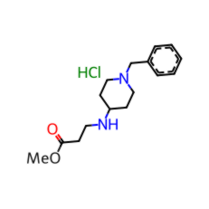 COC(=O)CCNC1CCN(Cc2ccccc2)CC1.Cl